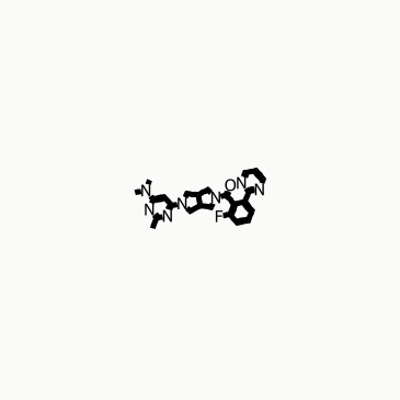 Cc1nc(N(C)C)cc(N2CC3CN(C(=O)c4c(F)cccc4-c4ncccn4)CC3C2)n1